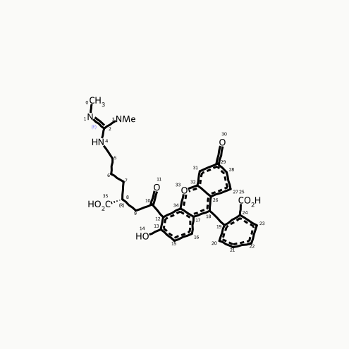 C/N=C(\NC)NCCC[C@H](CC(=O)c1c(O)ccc2c(-c3ccccc3C(=O)O)c3ccc(=O)cc-3oc12)C(=O)O